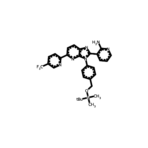 CC(C)(C)[Si](C)(C)OCc1ccc(-n2c(-c3cccnc3N)nc3ccc(-c4ccc(C(F)(F)F)cn4)nc32)cc1